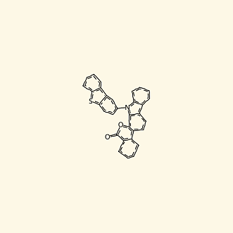 O=c1oc2c(ccc3c4ccccc4n(-c4ccc5sc6ccccc6c5c4)c32)c2ccccc12